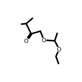 CCOC(C)OCC(=O)C(C)C